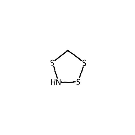 C1SNSS1